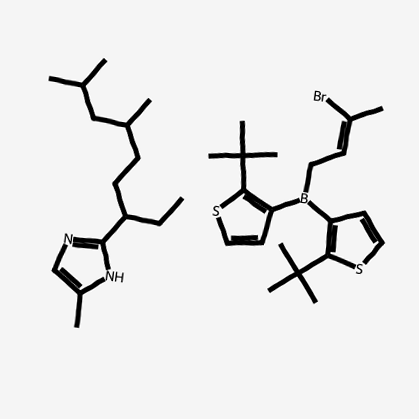 CC(Br)=CCB(c1ccsc1C(C)(C)C)c1ccsc1C(C)(C)C.CCC(CCC(C)CC(C)C)c1ncc(C)[nH]1